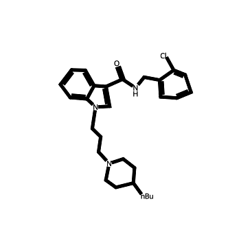 CCCCC1CCN(CCCn2cc(C(=O)NCc3ccccc3Cl)c3ccccc32)CC1